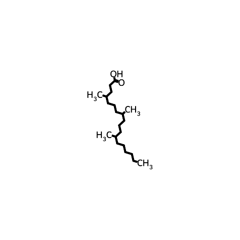 CCCCCCC(C)CCCC(C)CCCC(C)CCC(=O)O